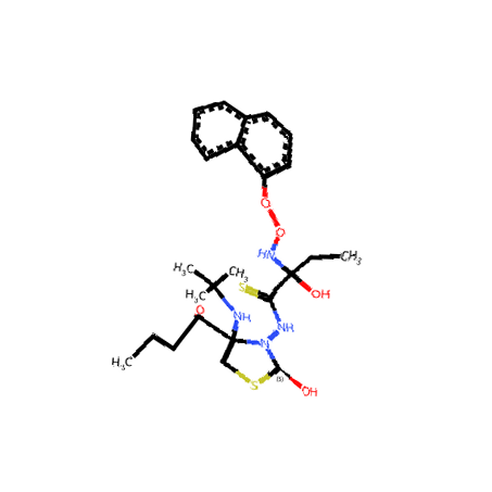 CCCC(=O)C1(NC(C)(C)C)CS[C@H](O)N1NC(=S)C(O)(CC)NOOc1cccc2ccccc12